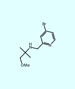 COCC(C)(C)NCc1cc(Br)ccn1